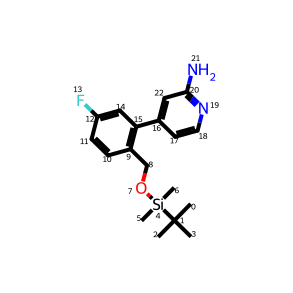 CC(C)(C)[Si](C)(C)OCc1ccc(F)cc1-c1ccnc(N)c1